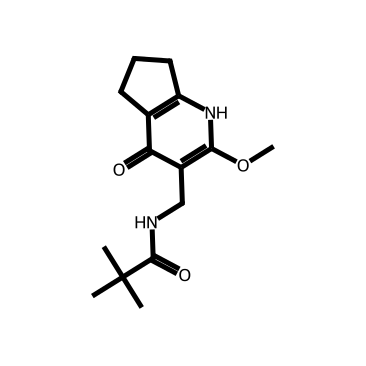 COc1[nH]c2c(c(=O)c1CNC(=O)C(C)(C)C)CCC2